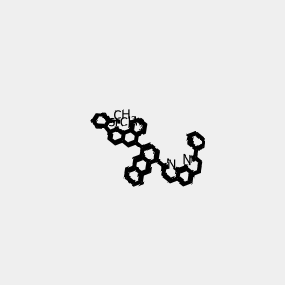 C[Si]1(C)c2ccccc2-c2ccc3cc(-c4ccc(-c5ccc6ccc7ccc(-c8ccccc8)nc7c6n5)c5cc6ccccc6cc45)c4ccccc4c3c21